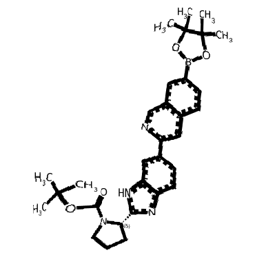 CC(C)(C)OC(=O)N1CCC[C@H]1c1nc2ccc(-c3cc4ccc(B5OC(C)(C)C(C)(C)O5)cc4cn3)cc2[nH]1